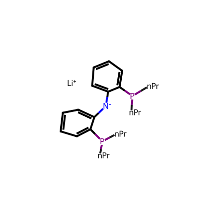 CCCP(CCC)c1ccccc1[N-]c1ccccc1P(CCC)CCC.[Li+]